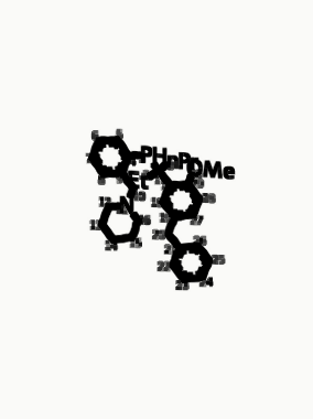 CCCC(CC)(Pc1ccccc1CN1CCCCC1)c1cc(Cc2ccccc2)ccc1OC